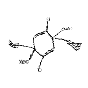 C#CC1(OC)C=C(Cl)C(C#C)(OC)C=C1Cl